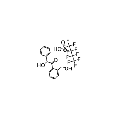 O=C(c1ccccc1CO)C(O)c1ccccc1.O=S(=O)(O)C(F)(F)C(F)(F)C(F)(F)C(F)(F)F